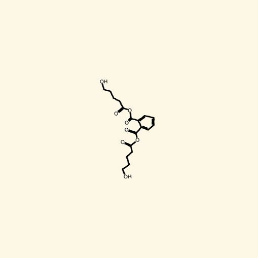 O=C(CCCCO)OC(=O)c1ccccc1C(=O)OC(=O)CCCCO